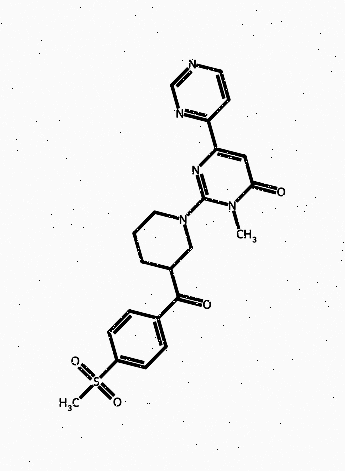 Cn1c(N2CCCC(C(=O)c3ccc(S(C)(=O)=O)cc3)C2)nc(-c2ccncn2)cc1=O